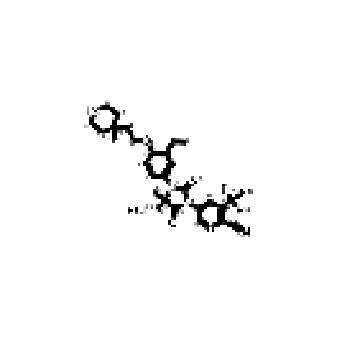 CCc1cc(N2C(=S)N(c3cnc(C#N)c(C(F)(F)F)c3)C(=O)C2(C)C)ccc1OCCC1(C)CCNCC1.Cl